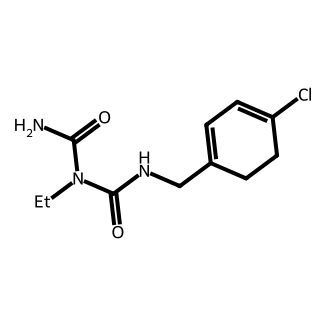 CCN(C(N)=O)C(=O)NCC1=CC=C(Cl)CC1